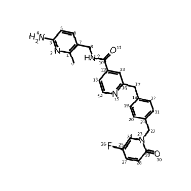 Cc1nc(N)ccc1CNC(=O)c1ccnc(Cc2ccc(Cn3cc(F)ccc3=O)cc2)c1